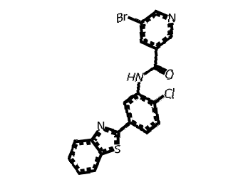 O=C(Nc1cc(-c2nc3ccccc3s2)ccc1Cl)c1cncc(Br)c1